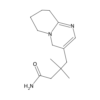 CC(C)(CC(N)=O)CC1=CN=C2CCCCN2C1